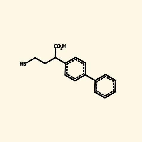 O=C(O)C(CCS)c1ccc(-c2ccccc2)cc1